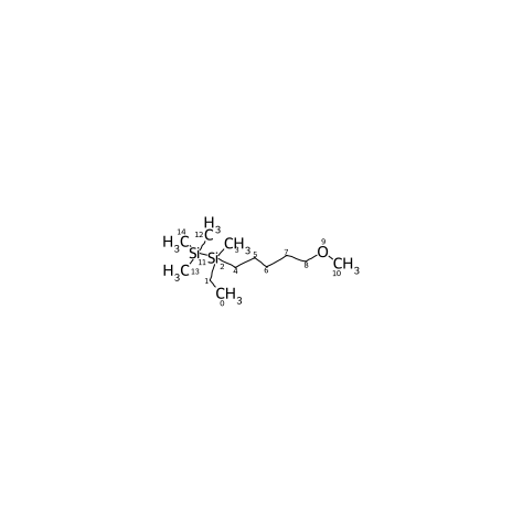 CC[Si](C)(CCCCCOC)[Si](C)(C)C